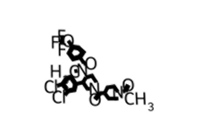 CC(=O)N1CCC(C(=O)N2CCC(N(C)C(=O)c3ccc(OC(F)(F)F)cc3)C(c3ccc(Cl)c(Cl)c3)C2)CC1